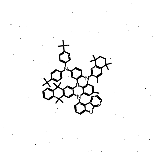 Cc1cc2c3c(c1)N(c1cccc4oc5ccccc5c14)c1cc4c(cc1B3c1cc(N(c3ccc(C(C)(C)C)cc3)c3ccc(C(C)(C)C)cc3)ccc1N2c1cc2c(cc1C)C(C)(C)CCC2(C)C)C(C)(C)c1ccccc1C4(C)C